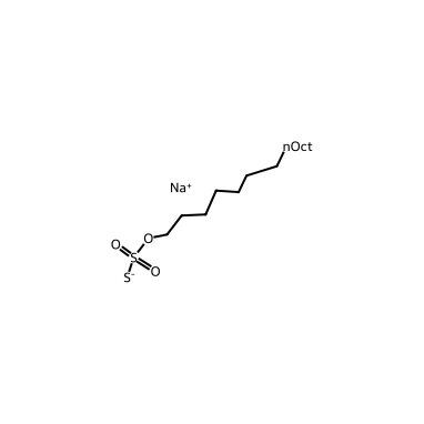 CCCCCCCCCCCCCCCOS(=O)(=O)[S-].[Na+]